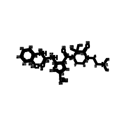 CN(C)CCN1CCN(C(=O)c2cc(C(C)(C)C)sc2NC(=O)Nc2ccccc2C(F)(F)F)C(C)(C)C1=O